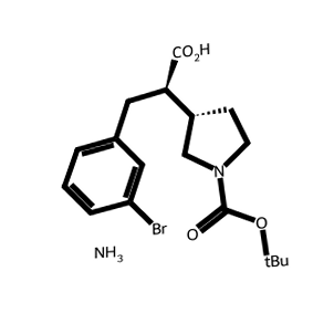 CC(C)(C)OC(=O)N1CC[C@@H]([C@@H](Cc2cccc(Br)c2)C(=O)O)C1.N